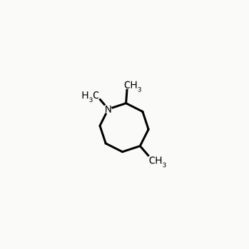 CC1CCCN(C)C(C)CC1